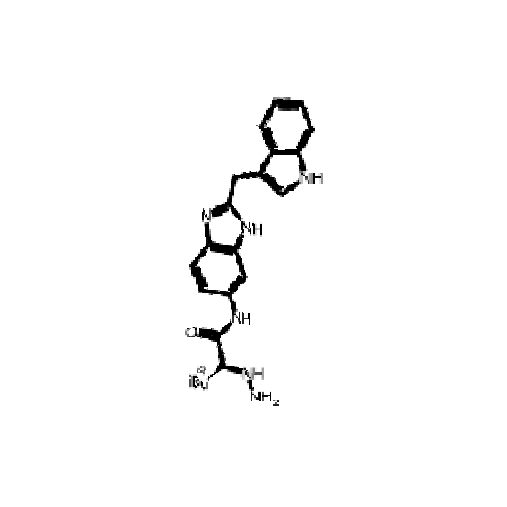 CC[C@H](C)C(NN)C(=O)Nc1ccc2nc(Cc3c[nH]c4ccccc34)[nH]c2c1